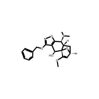 COC1=C[C@@H]2C[C@H]3[C@H](N(C)C)c4onc(OCc5ccccc5)c4[C@H](O)[C@]13O2